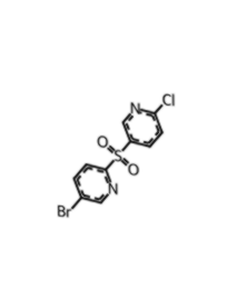 O=S(=O)(c1ccc(Cl)nc1)c1ccc(Br)cn1